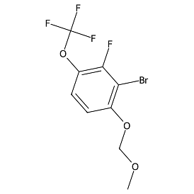 COCOc1ccc(OC(F)(F)F)c(F)c1Br